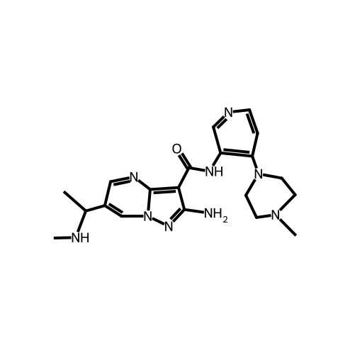 CNC(C)c1cnc2c(C(=O)Nc3cnccc3N3CCN(C)CC3)c(N)nn2c1